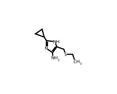 CCSCc1[nH]c(C2CC2)nc1N